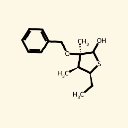 CC[C@@H]1SC(O)[C@](C)(OCc2ccccc2)[C@@H]1C